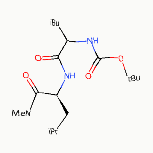 CCC(C)C(NC(=O)OC(C)(C)C)C(=O)N[C@@H](CC(C)C)C(=O)NC